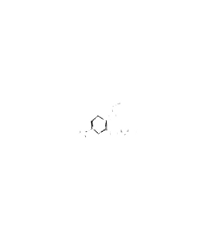 COc1cc(NC=O)ccc1OCC=O